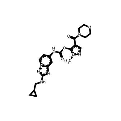 Cn1ncc(C(=O)N2CCOCC2)c1OC(=O)Nc1ccn2nc(NCC3CC3)nc2c1